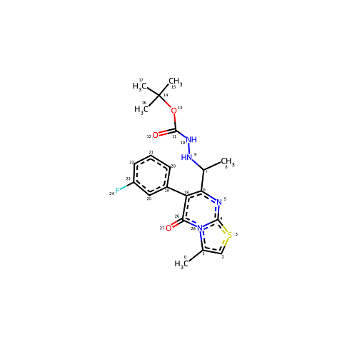 Cc1csc2nc(C(C)NNC(=O)OC(C)(C)C)c(-c3cccc(F)c3)c(=O)n12